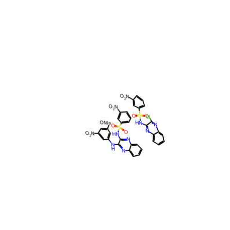 COc1cc(Nc2nc3ccccc3nc2NS(=O)(=O)c2cccc([N+](=O)[O-])c2)cc([N+](=O)[O-])c1.O=[N+]([O-])c1cccc(S(=O)(=O)Nc2nc3ccccc3nc2Cl)c1